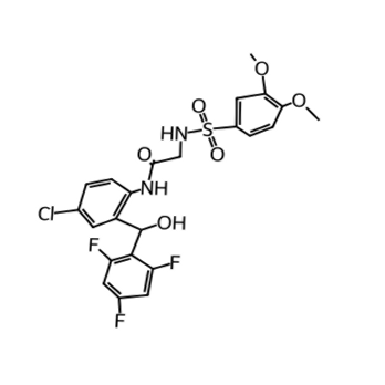 COc1ccc(S(=O)(=O)NCC(=O)Nc2ccc(Cl)cc2C(O)c2c(F)cc(F)cc2F)cc1OC